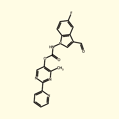 Cc1nc(-c2ccccn2)ncc1OC(=O)Nn1cc(C=O)c2cc(F)ccc21